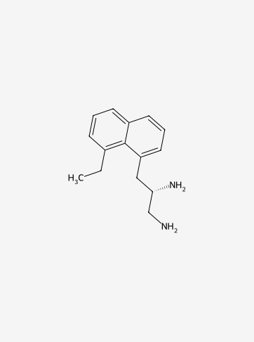 CCc1cccc2cccc(C[C@H](N)CN)c12